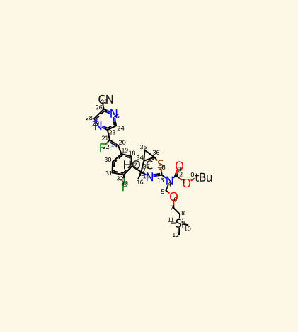 CC(C)(C)OC(=O)N(COCC[Si](C)(C)C)C1=NC(C)(c2cc(/C=C(\F)c3cnc(C#N)cn3)ccc2F)C2CC2(C(=O)O)S1